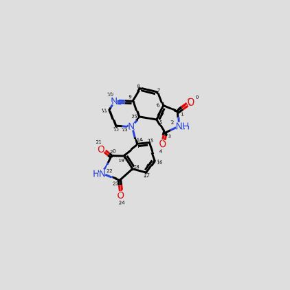 O=C1NC(=O)C2=C1C=CC1=NCCN(c3cccc4c3C(=O)NC4=O)C12